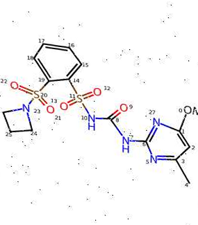 COc1cc(C)nc(NC(=O)NS(=O)(=O)c2ccccc2S(=O)(=O)N2CCC2)n1